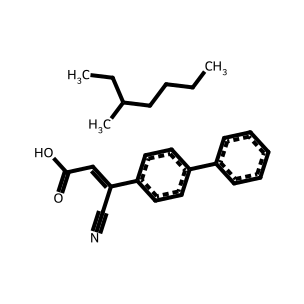 CCCCC(C)CC.N#CC(=CC(=O)O)c1ccc(-c2ccccc2)cc1